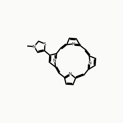 CN1C=C(C2=CC3=CC4=NC(=CC5=NC(=CC6=NC(=CC2=N3)C=C6)C=C5)C=C4)SC1